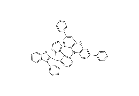 c1ccc(-c2ccc3c(c2)Sc2cc(-c4ccccc4)ccc2N3c2cccc3c2-c2ccccc2C32c3ccccc3-c3c2sc2ccccc32)cc1